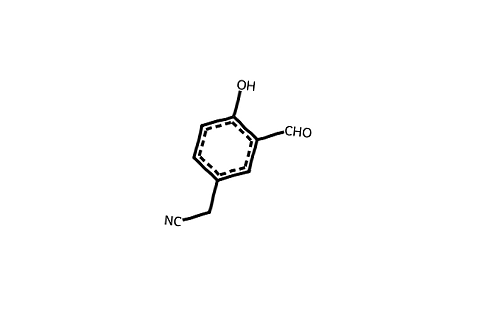 N#CCc1ccc(O)c(C=O)c1